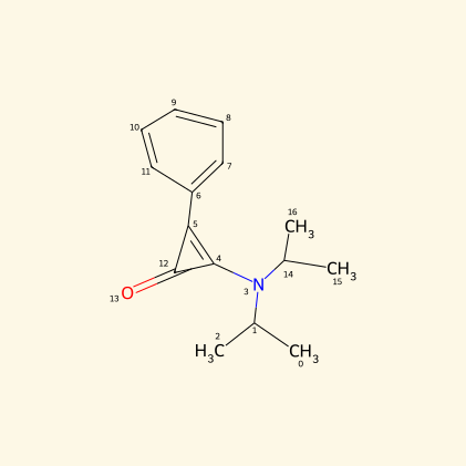 CC(C)N(c1c(-c2ccccc2)c1=O)C(C)C